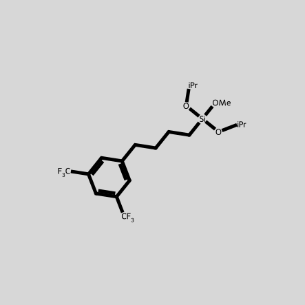 CO[Si](CCCCc1cc(C(F)(F)F)cc(C(F)(F)F)c1)(OC(C)C)OC(C)C